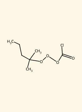 CCCC(C)(C)OOOC(=O)Cl